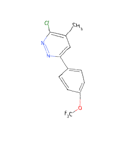 Cc1cc(-c2ccc(OC(F)(F)F)cc2)nnc1Cl